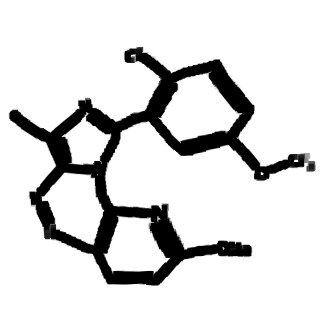 COc1ccc2nnc3c(C)nc(-c4cc(OC(F)(F)F)ccc4Cl)n3c2n1